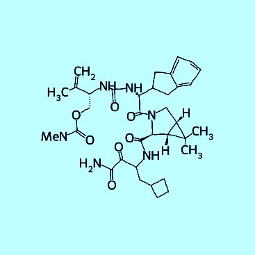 C=C(C)[C@@H](COC(=O)NC)NC(=O)N[C@H](C(=O)N1C[C@H]2[C@@H]([C@H]1C(=O)NC(CC1CCC1)C(=O)C(N)=O)C2(C)C)C1Cc2ccccc2C1